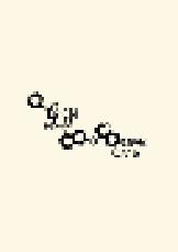 COc1cc2nccc(Oc3ccc4c(C(=O)Nc5cc(-c6ccccc6)oc5C#N)cccc4c3)c2cc1OC